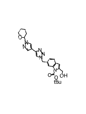 CC(C)(C)OC(=O)n1c(CO)cc2ccc(Cn3cc(-c4cnn(C5CCCCO5)c4)nn3)cc21